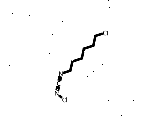 ClCCCCCCN=C=NCl